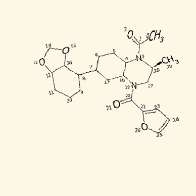 CC(=O)N1C2CCC(C3CCCC4OCOC43)CC2N(C(=O)c2ccco2)C[C@@H]1C